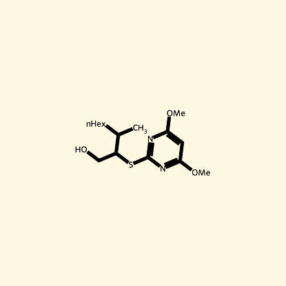 CCCCCCC(C)C(CO)Sc1nc(OC)cc(OC)n1